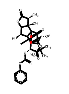 C[C@@H]1C(=O)OC2[C@H](O)C34C5OC(=O)C3(OC3OC(=O)[C@H](OC(=S)Oc6ccccc6)C34[C@H](C(C)(C)C)[C@H]5O)[C@]21O